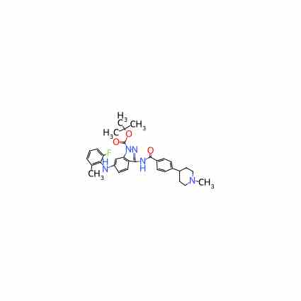 Cc1cccc(F)c1Nc1ccc2c(NC(=O)c3ccc(C4CCN(C)CC4)cc3)nn(C(=O)OC(C)(C)C)c2c1